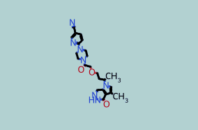 Cc1cn(C(C)CCOCC(=O)N2CCN(c3ccc(C#N)cn3)CC2)c2cn[nH]c(=O)c12